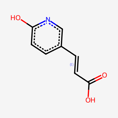 O=C(O)/C=C/c1ccc(O)nc1